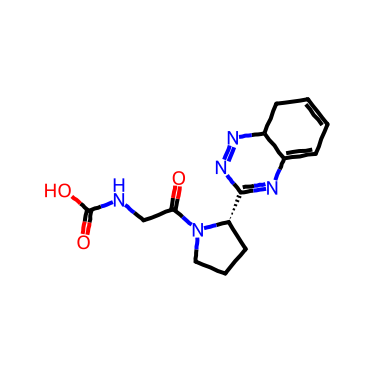 O=C(O)NCC(=O)N1CCC[C@H]1C1=NC2=CC=CCC2N=N1